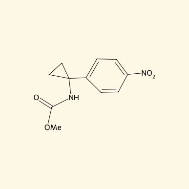 COC(=O)NC1(c2ccc([N+](=O)[O-])cc2)CC1